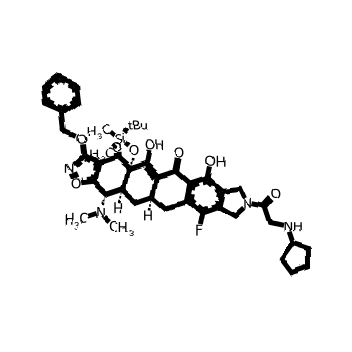 CN(C)[C@@H]1c2onc(OCc3ccccc3)c2C(=O)[C@@]2(O[Si](C)(C)C(C)(C)C)C(O)=C3C(=O)c4c(O)c5c(c(F)c4C[C@H]3C[C@@H]12)CN(C(=O)CNC1CCCC1)C5